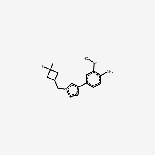 Nc1ccc(-c2cnn(CC3CC(F)(F)C3)c2)cc1NO